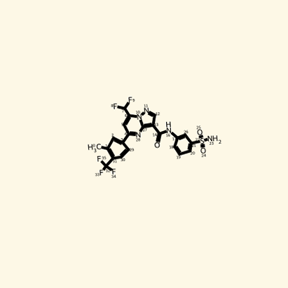 Cc1cc(-c2cc(C(F)F)n3ncc(C(=O)Nc4cccc(S(N)(=O)=O)c4)c3n2)ccc1C(F)(F)F